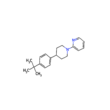 CC(C)(C)c1ccc(C2CCN(c3ccccn3)CC2)cc1